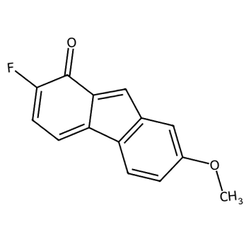 COc1ccc2c(c1)C=C1C(=O)C(F)=CC=C12